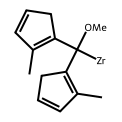 CO[C]([Zr])(C1=C(C)C=CC1)C1=C(C)C=CC1